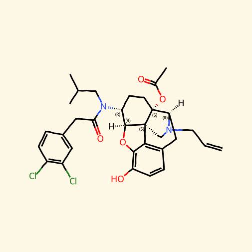 C=CCN1CC[C@]23c4c5ccc(O)c4O[C@H]2[C@H](N(CC(C)C)C(=O)Cc2ccc(Cl)c(Cl)c2)CC[C@@]3(OC(C)=O)[C@H]1C5